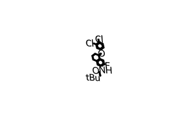 CC(C)(C)CC(=O)Nc1cc2c(cc1F)C(Oc1ccc(Cl)c(Cl)c1)CCC2